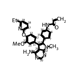 C=CC(=O)Nc1ccc(-c2c(-c3ccc(Oc4cccc(CC)n4)c(OC)c3)c3c(N)ncnc3n2C)cc1